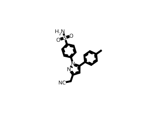 Cc1ccc(-c2cc(CC#N)nn2-c2ccc(S(N)(=O)=O)cc2)cc1